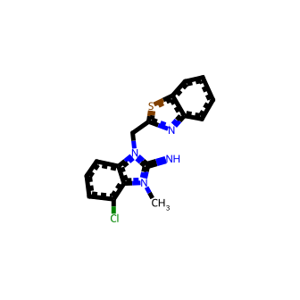 Cn1c(=N)n(Cc2nc3ccccc3s2)c2cccc(Cl)c21